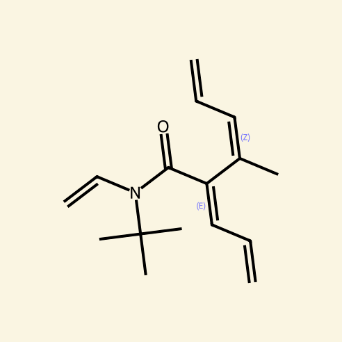 C=C/C=C(C)\C(=C/C=C)C(=O)N(C=C)C(C)(C)C